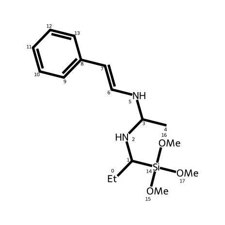 CCC(NC(C)N/C=C/c1ccccc1)[Si](OC)(OC)OC